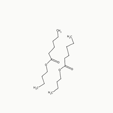 CCCCCC(=O)OCCCC.CCCCCC(=O)OCCCC